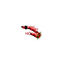 CCOc1ccc(OCC(O)COCC(O)COCCOCC(F)(F)OC(F)(F)OC(F)(F)COCC(O)COCCO)cc1